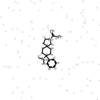 CC(C)C(=O)N1CCC2(CCC(c3ccccc3)(N(C)C)CC2)C1